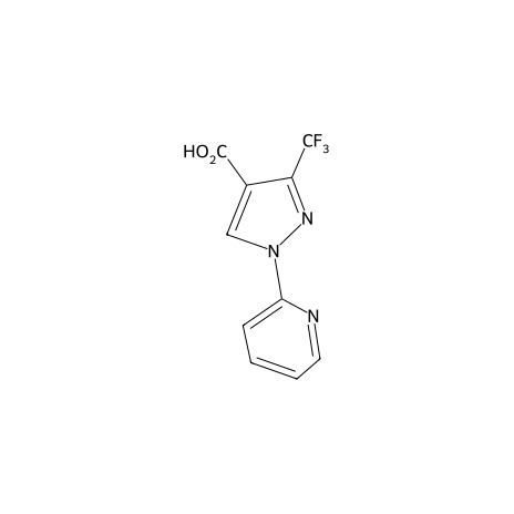 O=C(O)c1cn(-c2ccccn2)nc1C(F)(F)F